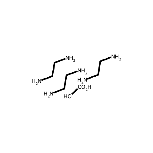 NCCN.NCCN.NCCN.O=C(O)O